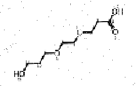 O=C(O)CCOCCOCCCO